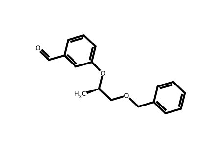 C[C@H](COCc1ccccc1)Oc1cccc(C=O)c1